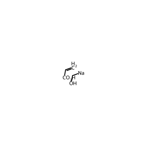 C=CC(=O)O.O[CH2][Na]